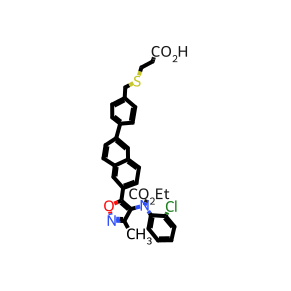 CCOC(=O)N(c1ccccc1Cl)c1c(C)noc1-c1ccc2cc(-c3ccc(CSCCC(=O)O)cc3)ccc2c1